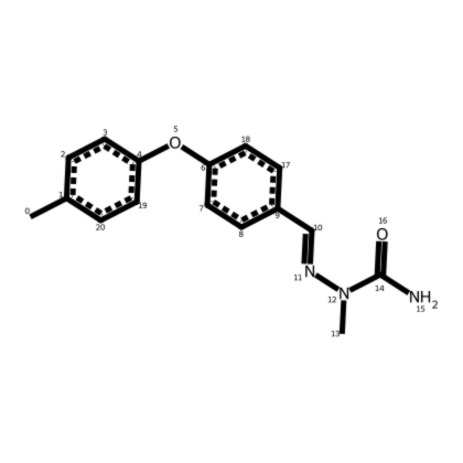 Cc1ccc(Oc2ccc(C=NN(C)C(N)=O)cc2)cc1